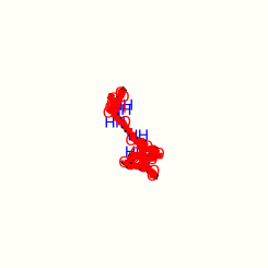 COc1ccc(COc2ccc(CCC(=O)NCCCCCC(=O)NCCCC[C@H](NC(=O)N[C@@H](CCC(=O)OC(C)(C)C)C(=O)OC(C)(C)C)C(=O)O)cc2CNC(CC(=O)OC(C)(C)C)CN(CC(=O)OC(C)(C)C)Cc2nc(CCC(=O)OC(C)(C)C)ccc2OCc2ccc(OC)cc2)cc1